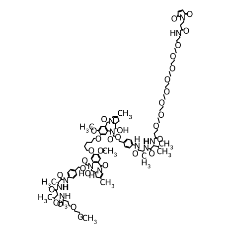 COCCOCCC(=O)N[C@@H](C(=O)N[C@H](C)C(=O)Nc1ccc(COC(=O)N2c3cc(OCCCCCOc4cc5c(cc4OC)C(=O)N4C=C(C)CC4[C@H](O)N5C(=O)OCc4ccc(NC(=O)[C@@H](C)NC(=O)[C@H](NC(=O)CCOCCOCCOCCOCCOCCOCCOCCOCCNC(=O)CCN5C(=O)C=CC5=O)C(C)C)cc4)c(OC)cc3C(=O)N3C=C(C)C[C@H]3[C@@H]2O)cc1)C(C)C